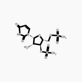 C[C@H]1[C@H](OS(C)(=O)=O)[C@@H](COS(C)(=O)=O)O[C@H]1n1ccc(=O)[nH]c1=O